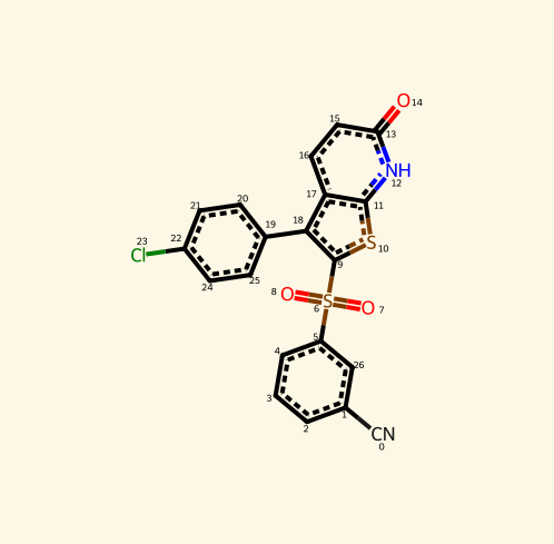 N#Cc1cccc(S(=O)(=O)c2sc3[nH]c(=O)ccc3c2-c2ccc(Cl)cc2)c1